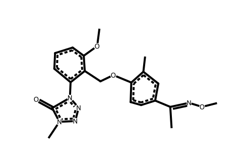 CON=C(C)c1ccc(OCc2c(OC)cccc2-n2nnn(C)c2=O)c(C)c1